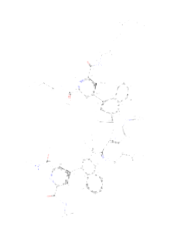 CCCCCNC(=O)c1cc(-c2cc3c(c4ccccc24)[N+](CCCS(=O)(=O)O)=C(/C=C/C=C2/N(CCC)c4c(cc(-c5cc(C(=O)NCCCCCC(=O)O)nc(C(=O)NCCS(=O)(=O)O)c5)c5ccccc45)C2(C)C)C3(C)C)cc(C(=O)NCC)n1